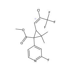 COC(=O)C1(c2ccnc(F)c2)C(/C=C(/Cl)C(F)(F)F)C1(C)C